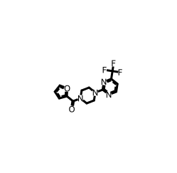 O=C(c1ccco1)N1CCN(c2nccc(C(F)(F)F)n2)CC1